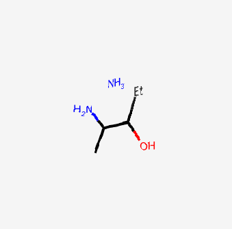 CCC(O)C(C)N.N